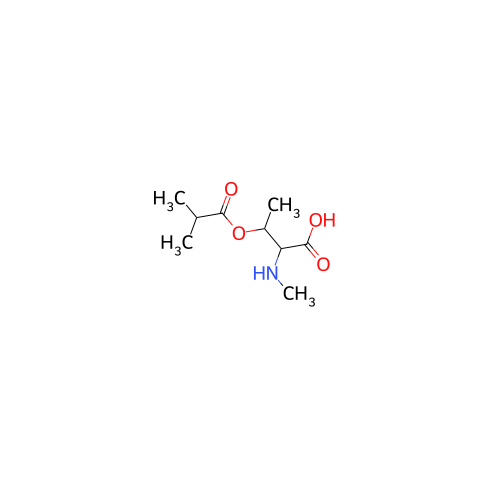 CNC(C(=O)O)C(C)OC(=O)C(C)C